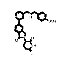 COc1ccc(CNCc2ccnc(-c3ccc4c(c3)CN(C3CCC(=O)NC3=O)C4=O)c2)cc1